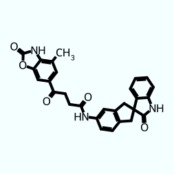 Cc1cc(C(=O)CCC(=O)Nc2ccc3c(c2)CC2(C3)C(=O)Nc3ccccc32)cc2oc(=O)[nH]c12